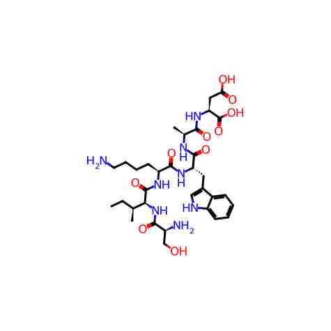 CC[C@H](C)[C@H](NC(=O)[C@@H](N)CO)C(=O)N[C@@H](CCCCN)C(=O)N[C@@H](Cc1c[nH]c2ccccc12)C(=O)N[C@@H](C)C(=O)N[C@@H](CC(=O)O)C(=O)O